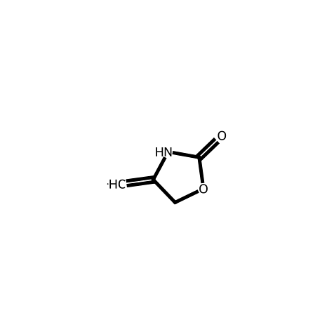 [CH]=C1COC(=O)N1